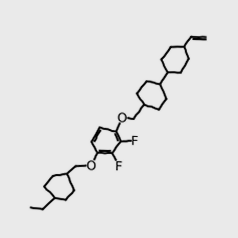 C=CC1CCC(C2CCC(COc3ccc(OCC4CCC(CC)CC4)c(F)c3F)CC2)CC1